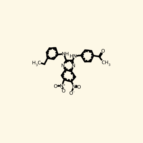 CCc1cccc(Nc2nc3cc([N+](=O)[O-])c([N+](=O)[O-])cc3nc2Nc2ccc(C(C)=O)cc2)c1